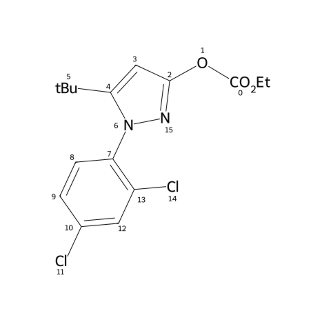 CCOC(=O)Oc1cc(C(C)(C)C)n(-c2ccc(Cl)cc2Cl)n1